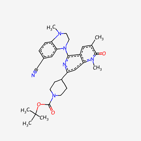 Cc1cc2c(N3CCN(C)c4ccc(C#N)cc43)nc(C3CCN(C(=O)OC(C)(C)C)CC3)cc2n(C)c1=O